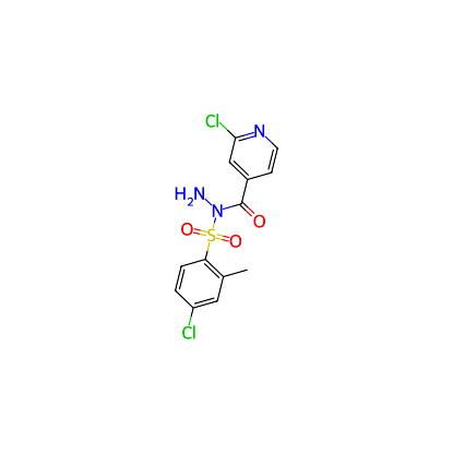 Cc1cc(Cl)ccc1S(=O)(=O)N(N)C(=O)c1ccnc(Cl)c1